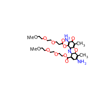 COCCOCCOCCOC(=O)C1=CC(N)=C(C)C2OC3=C(C)C(=O)C(N)=C(OC(=O)CCOCCOCCOC)C3=NC12